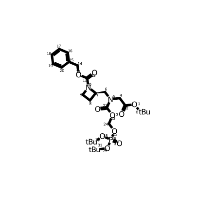 CC(C)(C)OC(=O)CN(C[C@H]1CCN1C(=O)OCc1ccccc1)C(=O)OCOP(=O)(OC(C)(C)C)OC(C)(C)C